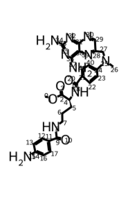 COC(=O)[C@H](CCCNC(=O)c1ccc(N)cc1)NC(=O)c1ccc(N(C)Cc2cnc3nc(N)nc(N)c3n2)cc1